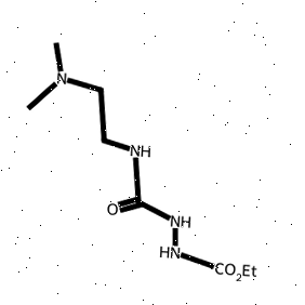 CCOC(=O)NNC(=O)NCCN(C)C